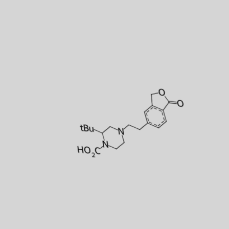 CC(C)(C)C1CN(CCc2ccc3c(c2)COC3=O)CCN1C(=O)O